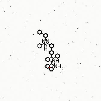 CC(N)(/C(=C1\NC(C2C=CC=CC2)=C(c2ccc(-c3cccc(C4N=C(c5cccc(-c6ccccc6)c5)N=C(C5=CCCC=C5)N4)c3)cc2)C2C=CC=CC12)c1ccccc1)c1ccccc1